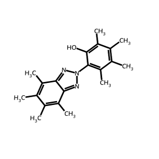 Cc1c(C)c(C)c(-n2nc3c(C)c(C)c(C)c(C)c3n2)c(O)c1C